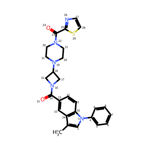 Cc1cn(-c2ccccc2)c2ccc(C(=O)N3CC(N4CCN(C(=O)c5nccs5)CC4)C3)cc12